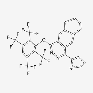 FC(F)(F)c1cc(C(F)(F)F)c(C(F)(F)F)c(Oc2nnc(-c3cccs3)c3cc4ccccc4cc23)c1C(F)(F)F